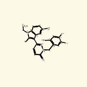 Cc1c(-c2ccc(=O)n(Cc3cc(F)c(F)cc3F)n2)c2cc(Cl)ccc2n1CC(=O)O